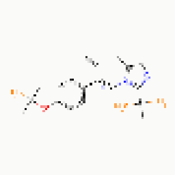 C=C/C(=C\n1c(C)cnc1C(C)(P)P)c1ccc(OC(C)(C)P)cc1